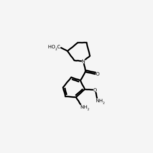 NOc1c(N)cccc1C(=O)N1CCCC(C(=O)O)C1